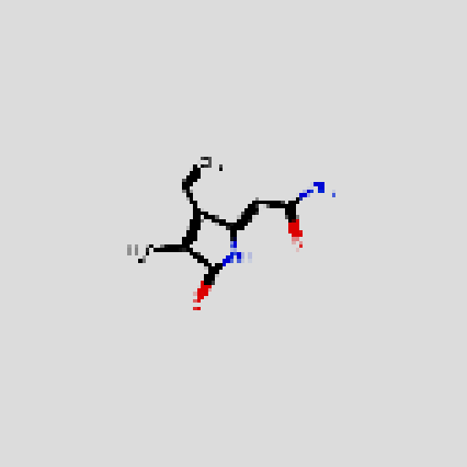 C=CC1=C(C)C(=O)NC1=CC(N)=O